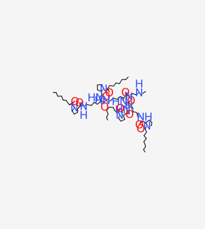 CCCCCCCC(=O)N1CCCC1C(=O)NCCCCC(NC(=O)C1CCCN1C(=O)CCCCCCC)C(=O)NCCCCC(NC(=O)C(CCCCNC(=O)C1CCCN1C(=O)CCCCCCC)NC(=O)C1CCCN1C(=O)CCCCCCC)C(=O)NCCNCC